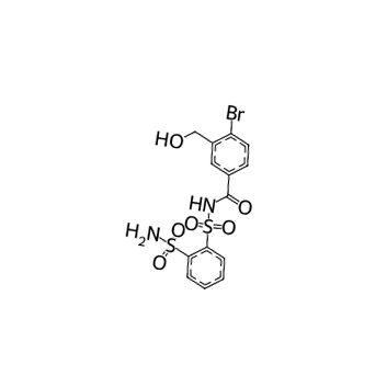 NS(=O)(=O)c1ccccc1S(=O)(=O)NC(=O)c1ccc(Br)c(CO)c1